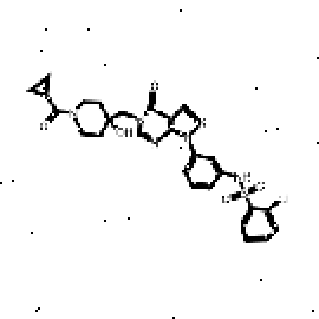 O=C(C1CC1)N1CCC(O)(Cn2cnc3c(cnn3-c3cccc(NS(=O)(=O)c4ccccc4Cl)c3)c2=O)CC1